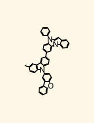 Cc1ccc2c(c1)c1cc(-c3ccc4c(c3)n3c5ccccc5cc3n4-c3ccccc3)ccc1n2-c1ccc2oc3ccccc3c2c1